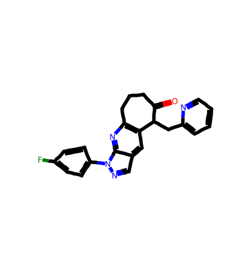 O=C1CCCc2nc3c(cnn3-c3ccc(F)cc3)cc2C1Cc1ccccn1